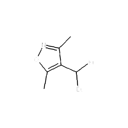 CCC(CC)c1c(C)noc1C